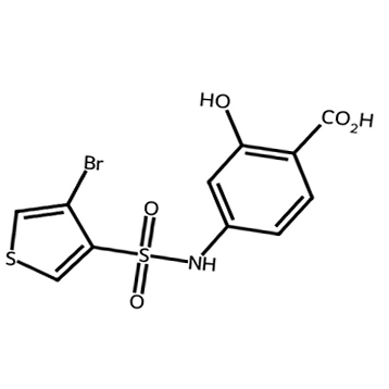 O=C(O)c1ccc(NS(=O)(=O)c2cscc2Br)cc1O